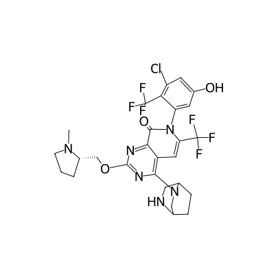 CN1CCC[C@H]1COc1nc(N2CC3CCC2CN3)c2cc(C(F)(F)F)n(-c3cc(O)cc(Cl)c3C(F)(F)F)c(=O)c2n1